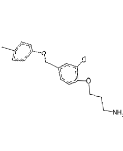 Cc1ccc(OCc2ccc(OCCCN)c(Cl)c2)cc1